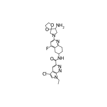 CCn1cc(Cl)c2cc(C(=O)NC3CCc4nc(N5CC(N)C6(C5)OCCO6)cc(F)c4C3)nnc21